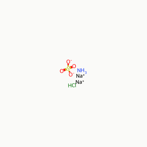 Cl.N.O=S(=O)([O-])[O-].[Na+].[Na+]